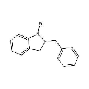 CCN1c2ccccc2CC1Cc1ccccc1